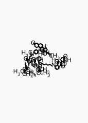 CC#C[C@]1(O)CC[C@H]2[C@@H]3CCC4=CC(=O)CCC4=C3[C@@H](c3ccc(N(C)CCCC(=O)N4CCN(C(=O)OC(C)(C)C)CC4C(=O)N4CCN(C(=O)OC(C)(C)C)CC4C(=O)NCCCCCCOCCCCCCNc4cccc5c4C(=O)N(C4CCC(=O)NC4=O)C5=O)cc3)C[C@@]21C